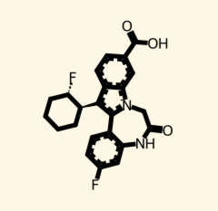 O=C1Cn2c(c([C@H]3CCCC[C@@H]3F)c3ccc(C(=O)O)cc32)-c2ccc(F)cc2N1